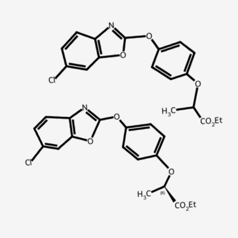 CCOC(=O)C(C)Oc1ccc(Oc2nc3ccc(Cl)cc3o2)cc1.CCOC(=O)[C@@H](C)Oc1ccc(Oc2nc3ccc(Cl)cc3o2)cc1